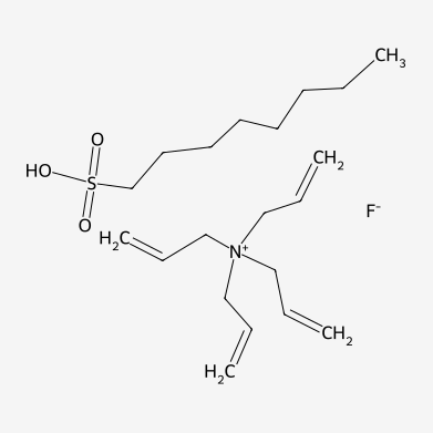 C=CC[N+](CC=C)(CC=C)CC=C.CCCCCCCCS(=O)(=O)O.[F-]